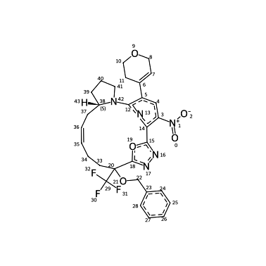 O=[N+]([O-])c1cc(C2=CCOCC2)c2nc1-c1nnc(o1)C(OCc1ccccc1)(C(F)(F)F)CCC=CC[C@@H]1CCCN21